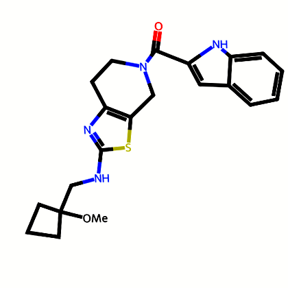 COC1(CNc2nc3c(s2)CN(C(=O)c2cc4ccccc4[nH]2)CC3)CCC1